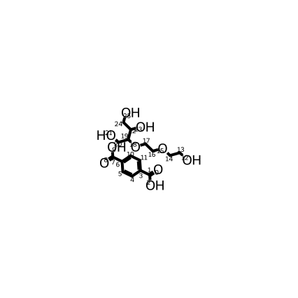 O=C(O)c1ccc(C(=O)O)cc1.OCCOCCOC(CO)C(O)CO